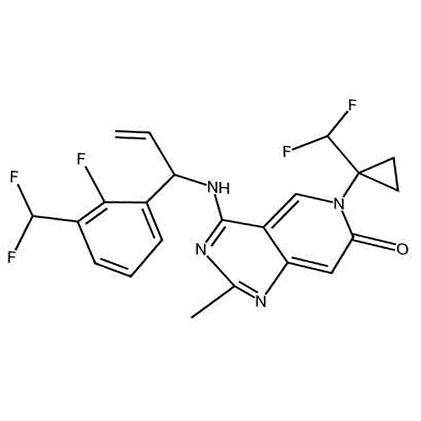 C=CC(Nc1nc(C)nc2cc(=O)n(C3(C(F)F)CC3)cc12)c1cccc(C(F)F)c1F